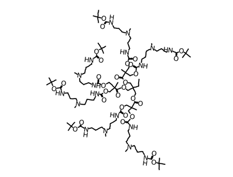 CCC(COC(=O)C(C)(COC(=O)NCCCN(C)CCCNC(=O)OC(C)(C)C)COC(=O)NCCCN(C)CCCNC(=O)OC(C)(C)C)(COC(=O)C(C)(COC(=O)NCCCN(C)CCCNC(=O)OC(C)(C)C)COC(=O)NCCCN(C)CCCNC(=O)OC(C)(C)C)COC(=O)C(C)(COC(=O)NCCCN(C)CCCNC(=O)OC(C)(C)C)COC(=O)NCCCN(C)CCCNC(=O)OC(C)(C)C